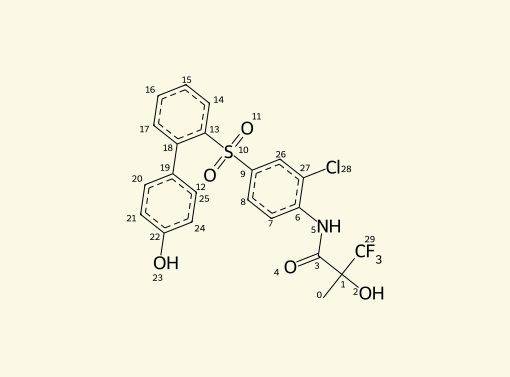 CC(O)(C(=O)Nc1ccc(S(=O)(=O)c2ccccc2-c2ccc(O)cc2)cc1Cl)C(F)(F)F